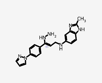 Cc1nc2cc(NC/C=C(\NN)c3ccc(-n4cccn4)cc3)ccc2[nH]1